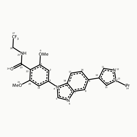 COc1cc(-n2cnc3cc(-c4cnn(C(C)C)c4)ccc32)cc(OC)c1C(=O)NCC(F)(F)F